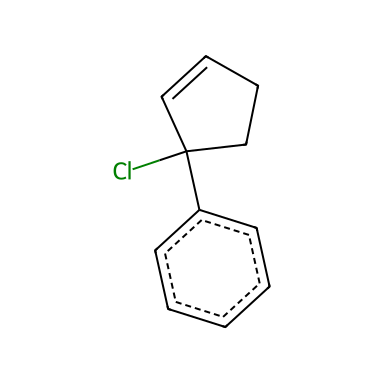 ClC1(c2ccccc2)C=CCC1